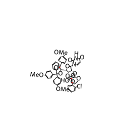 COc1ccc(C(=O)C(OC(c2ccccc2)(c2ccc(OC)cc2)c2ccc(OC)cc2)[C@H]2O[C@@H](n3ccc(=O)[nH]c3=O)[C@H](OC3CCCCO3)[C@@H]2OP(=O)(O)Oc2ccccc2Cl)cc1